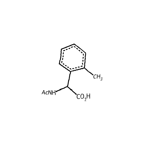 CC(=O)NC(C(=O)O)c1ccccc1C